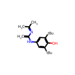 C=C(N=C(C)C)Nc1cc(C(C)(C)C)c(O)c(C(C)(C)C)c1